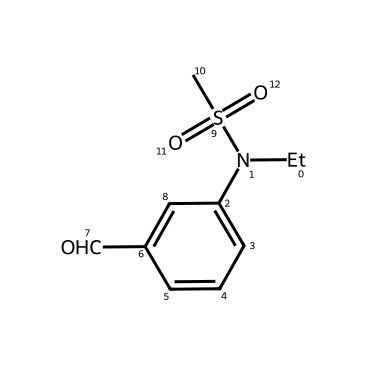 CCN(c1cccc(C=O)c1)S(C)(=O)=O